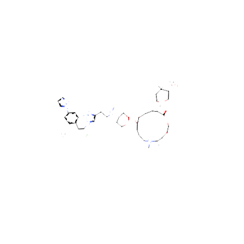 CC[C@H]1OC(=O)[C@H](C)[C@@H](O[C@H]2C[C@@](C)(OC)[C@@H](O)[C@H](C)O2)[C@H](C)[C@@H](O[C@H]2C[C@@H](N(C)CCc3cn([C@H](CF)[C@H](OC)c4ccc(-n5cccn5)cc4)nn3)C[C@@H](C)O2)[C@](C)(O)C[C@@H](C)CN(C)[C@H](C)[C@@H](O)[C@]1(C)O